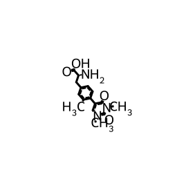 Cc1cc(C[C@H](N)C(=O)O)ccc1-c1cn(C)c(=O)n(C)c1=O